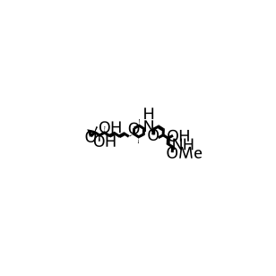 COC(=N)/C=C(\O)C(C)/C=C\C(=O)N[C@@H]1C[C@H](C)[C@H](C/C=C/C=C/[C@@H](O)[C@@H](O)[C@@]2(C)CO2)O[C@@H]1C